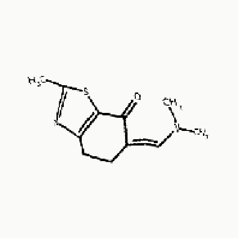 Cc1nc2c(s1)C(=O)/C(=C\N(C)C)CC2